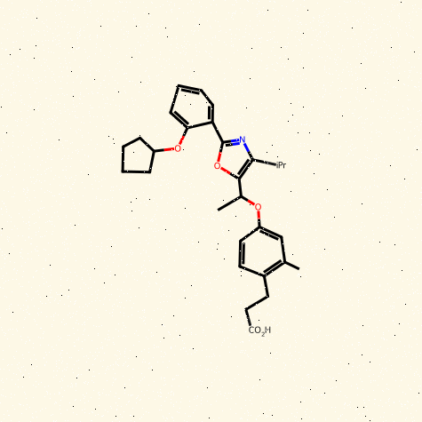 Cc1cc(OC(C)c2oc(-c3ccccc3OC3CCCC3)nc2C(C)C)ccc1CCC(=O)O